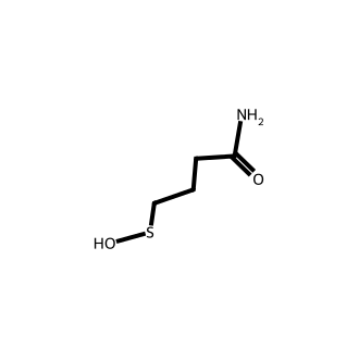 NC(=O)CCCSO